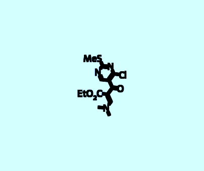 CCOC(=O)/C(=C\N(C)C)C(=O)c1cnc(SC)nc1Cl